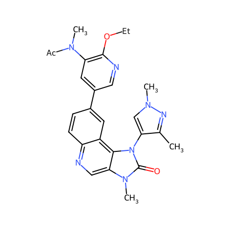 CCOc1ncc(-c2ccc3ncc4c(c3c2)n(-c2cn(C)nc2C)c(=O)n4C)cc1N(C)C(C)=O